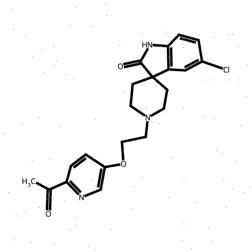 CC(=O)c1ccc(OCCN2CCC3(CC2)C(=O)Nc2ccc(Cl)cc23)cn1